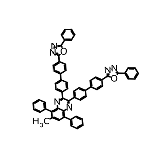 Cc1cc(-c2ccccc2)c2nc(-c3ccc(-c4ccc(-c5nnc(-c6ccccc6)o5)cc4)cc3)c(-c3ccc(-c4ccc(-c5nnc(-c6ccccc6)o5)cc4)cc3)nc2c1-c1ccccc1